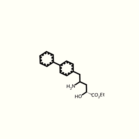 CCOC(=O)[C@H](O)CC(N)Cc1ccc(-c2ccccc2)cc1